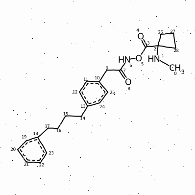 CNC1(C(=O)ONC(=O)Cc2ccc(CCCCc3ccccc3)cc2)CCC1